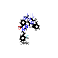 COc1ccc(CCn2cnc3cc(N=C(N)N4CC(C)N(C5CC6CCC5(C)C6(C)C)C(C)C4)ccc3c2=O)c(F)c1